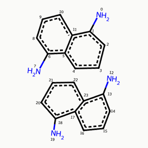 Nc1cccc2c(N)cccc12.Nc1cccc2c(N)cccc12